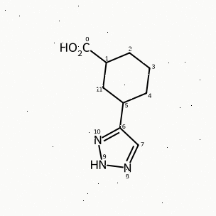 O=C(O)C1CCCC(c2cn[nH]n2)C1